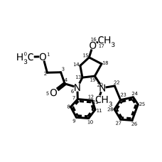 COCCC(=O)N(c1ccccc1)C1CC(OC)CC1N(C)Cc1ccccc1